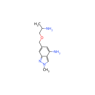 CC(N)COCc1cc(N)c2cn(C)nc2c1